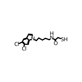 O=C(CS)NCCCCCn1ccc2cc(Cl)c(Cl)cc21